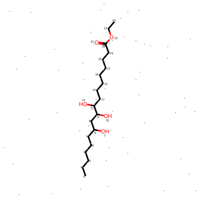 CCCCCCC(O)CC(O)C(O)CCCCCCCC(=O)OCC